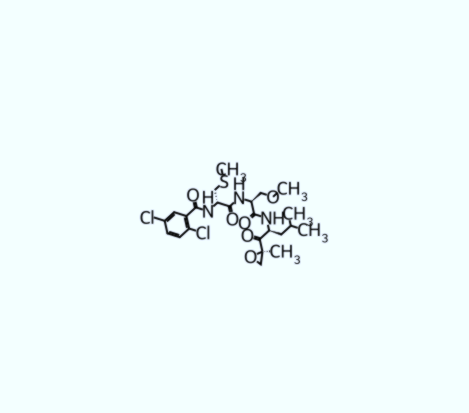 COC[C@H](NC(=O)[C@@H](CSC)NC(=O)c1cc(Cl)ccc1Cl)C(=O)N[C@@H](CC(C)C)C(=O)[C@@]1(C)CO1